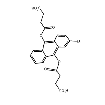 CCc1ccc2c(OC(=O)CCC(=O)O)c3ccccc3c(OC(=O)CCC(=O)O)c2c1